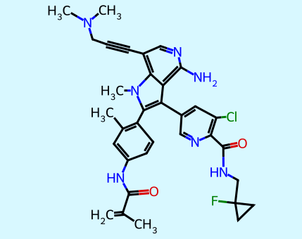 C=C(C)C(=O)Nc1ccc(-c2c(-c3cnc(C(=O)NCC4(F)CC4)c(Cl)c3)c3c(N)ncc(C#CCN(C)C)c3n2C)c(C)c1